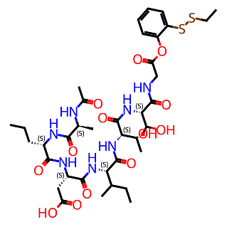 CCC[C@H](NC(=O)[C@H](C)NC(C)=O)C(=O)N[C@@H](CC(=O)O)C(=O)N[C@H](C(=O)N[C@H](C(=O)N[C@H](C(=O)NCC(=O)Oc1ccccc1SSCC)C(C)O)C(C)O)C(C)CC